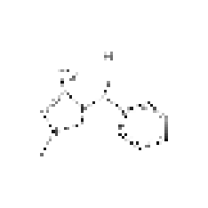 CCOC(=O)C1=CN(C)CN1C(C)c1ccccc1.I